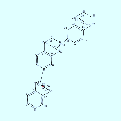 c1ccc2c3c(-c4ccc5c(c4)C4SCC5CC4c4ccc5c(c4)C4CCC5CN4)cc(c2c1)CO3